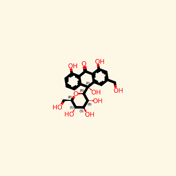 O=C1c2c(O)cccc2[C@](O)([C@@H]2O[C@H](CO)[C@@H](O)[C@H](O)[C@H]2O)c2cc(CO)cc(O)c21